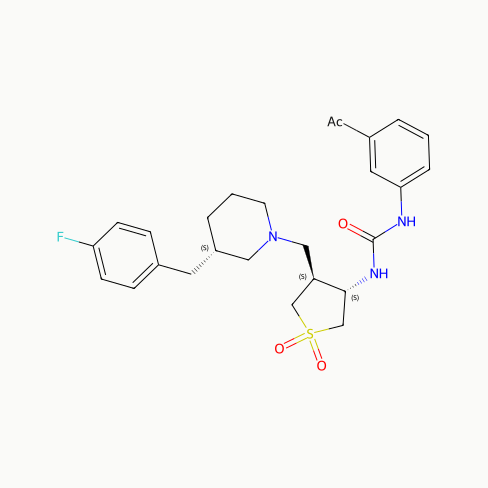 CC(=O)c1cccc(NC(=O)N[C@@H]2CS(=O)(=O)C[C@H]2CN2CCC[C@@H](Cc3ccc(F)cc3)C2)c1